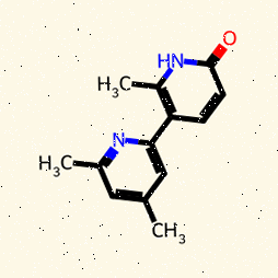 Cc1cc(C)nc(-c2ccc(=O)[nH]c2C)c1